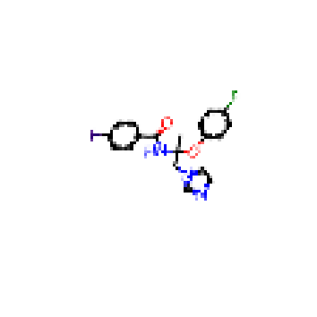 CC(Cn1ccnc1)(NC(=O)c1ccc(I)cc1)Oc1ccc(F)cc1